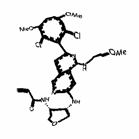 C=CC(=O)N[C@H]1COC[C@H]1Nc1cc2c(NCCOC)nc(-c3c(Cl)c(OC)cc(OC)c3Cl)cc2cn1